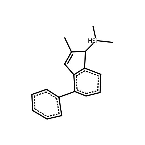 CC1=Cc2c(-c3ccccc3)cccc2C1[SiH](C)C